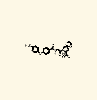 Cc1ccc(OC2C=CC(C(=O)NCC(=O)N3CC4(CC3C(=O)O)OCCO4)=CC2)cc1